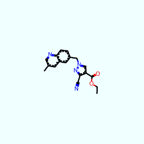 CCOC(=O)c1cn(Cc2ccc3ncc(C)cc3c2)nc1C#N